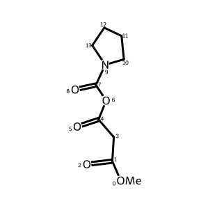 COC(=O)CC(=O)OC(=O)N1CCCC1